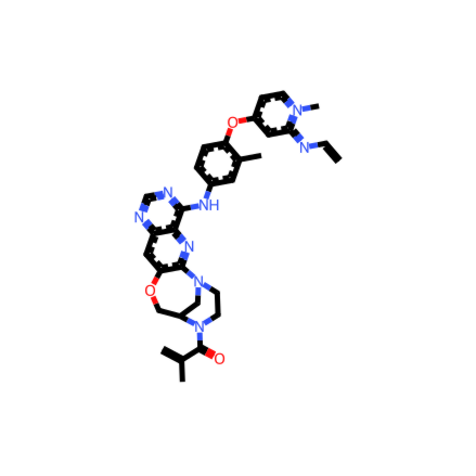 C=C/N=c1/cc(Oc2ccc(Nc3ncnc4cc5c(nc34)N3CCN(C(=O)C(=C)C)C(CO5)C3)cc2C)ccn1C